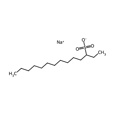 CCCCCCCCCCCC(CC)S(=O)(=O)[O-].[Na+]